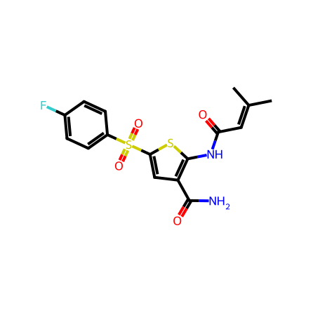 CC(C)=CC(=O)Nc1sc(S(=O)(=O)c2ccc(F)cc2)cc1C(N)=O